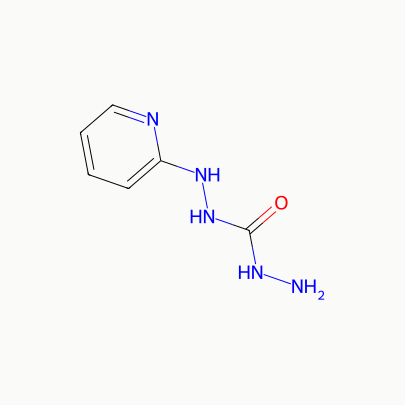 NNC(=O)NNc1ccccn1